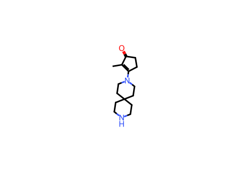 CC1=C(N2CCC3(CCNCC3)CC2)CCC1=O